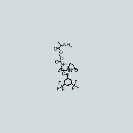 CC(N)C(=O)OCOC(=O)N1C[C@@]2(CCC(=O)N2)CC2C[C@]21CO[C@H](C)c1cc(C(F)(F)F)cc(C(F)(F)F)c1